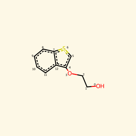 OCCOc1csc2ccccc12